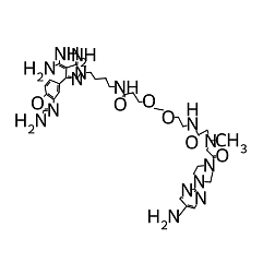 CN(CC(=O)NCCOCCOCCC(=O)NCCCCN1N=C(c2ccc3oc(N)nc3c2)C(=C(N)N)C1=N)CC(=O)N1CCN(c2ncc(CN)cn2)CC1